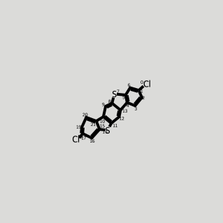 Clc1ccc2c(c1)sc1cc3c(cc12)sc1cc(Cl)ccc13